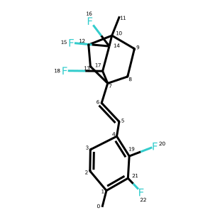 Cc1ccc(/C=C/C23CCC(C)(CC2)C(F)(F)C3F)c(F)c1F